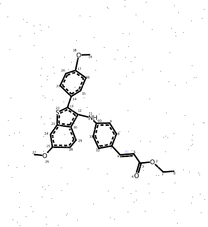 CCOC(=O)/C=C/c1ccc(Nc2c(-c3ccc(OC)cc3)sc3cc(OC)ccc23)cc1